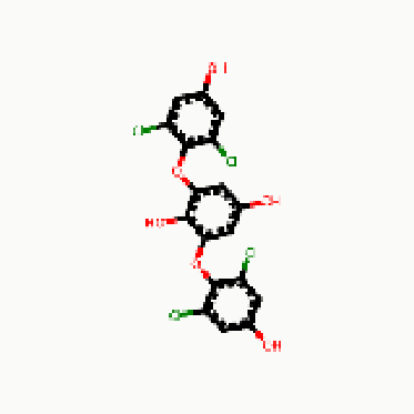 Oc1cc(Cl)c(Oc2cc(O)cc(Oc3c(Cl)cc(O)cc3Cl)c2O)c(Cl)c1